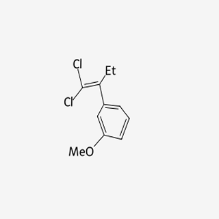 CCC(=C(Cl)Cl)c1cccc(OC)c1